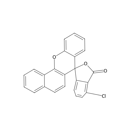 O=C1OC2(c3ccccc3Oc3c2ccc2ccccc32)c2cccc(Cl)c21